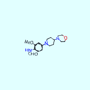 COc1cc(N2CCC(N3CCOCC3)CC2)ccc1NC=O